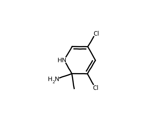 CC1(N)NC=C(Cl)C=C1Cl